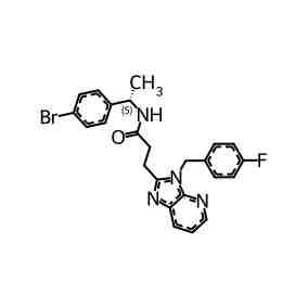 C[C@H](NC(=O)CCc1nc2cccnc2n1Cc1ccc(F)cc1)c1ccc(Br)cc1